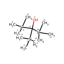 C[Si](C)(C)C(O)([Si](C)(C)C)[Si](C)(C)C